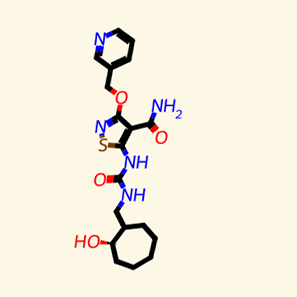 NC(=O)c1c(OCc2cccnc2)nsc1NC(=O)NCC1CCCCC[C@H]1O